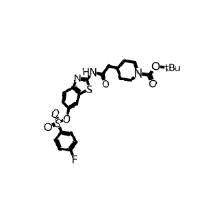 CC(C)(C)OC(=O)N1CCC(CC(=O)Nc2nc3ccc(OS(=O)(=O)c4ccc(F)cc4)cc3s2)CC1